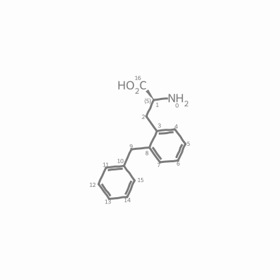 N[C@@H](Cc1ccccc1Cc1ccccc1)C(=O)O